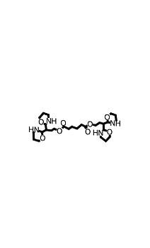 O=C(CCCCC(=O)OCCC(C1NCCCO1)C1NCCCO1)OCCC(C1NCCCO1)C1NCCCO1